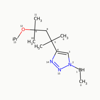 CBn1cc(C(C)(C)CC(C)(C)OC(C)C)nn1